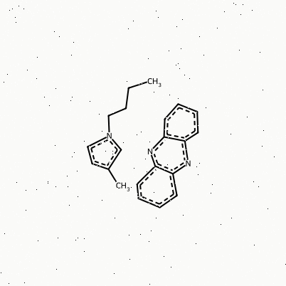 CCCCn1ccc(C)c1.c1ccc2nc3ccccc3nc2c1